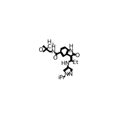 CCC(Nc1cnn(C(C)C)c1)=C1C(=O)Nc2ccc(C(=O)NCC3(C)COC3)cc21